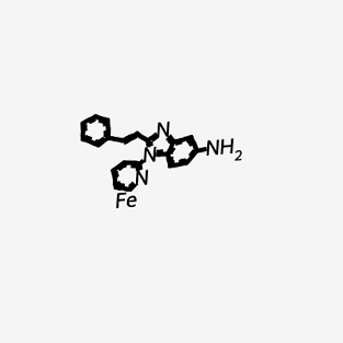 Nc1ccc2c(c1)nc(/C=C/c1ccccc1)n2-c1ccccn1.[Fe]